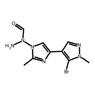 Cc1nc(-c2cnn(C)c2Br)cn1N(N)C=O